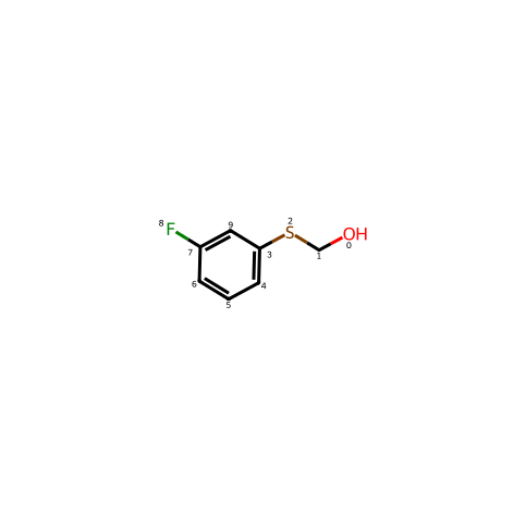 OCSc1cccc(F)c1